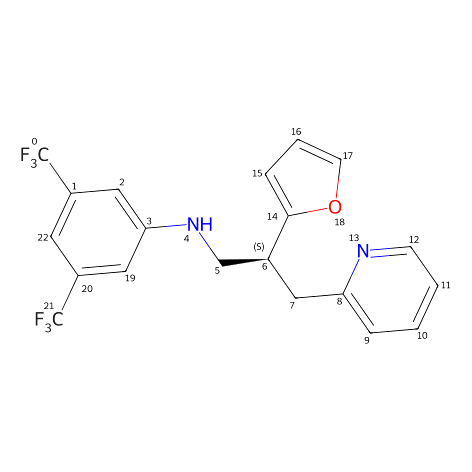 FC(F)(F)c1cc(NC[C@H](Cc2ccccn2)c2ccco2)cc(C(F)(F)F)c1